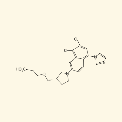 O=C(O)CCOC[C@H]1CCN(c2ccc3c(-n4ccnc4)cc(Cl)c(Cl)c3n2)C1